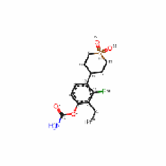 CC(C)Cc1c(OC(N)=O)ccc(C2CCS(=O)(=O)CC2)c1F